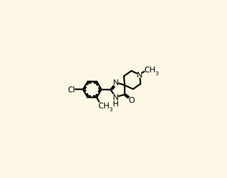 Cc1cc(Cl)ccc1C1=NC2(CCN(C)CC2)C(=O)N1